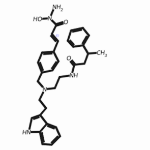 CC(CC(=O)NCCN(CCc1c[nH]c2ccccc12)Cc1ccc(/C=C/C(=O)N(N)O)cc1)c1ccccc1